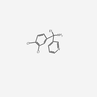 CCC(N)(c1cccnc1)c1ccc(Cl)c(Cl)c1